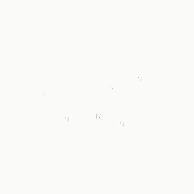 C[C@H](N)c1ncnn1-c1cc(C#N)ncn1